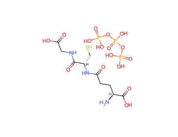 N[C@@H](CCC(=O)N[C@@H](CS)C(=O)NCC(=O)O)C(=O)O.O=P(O)(O)OP(=O)(O)OP(=O)(O)O